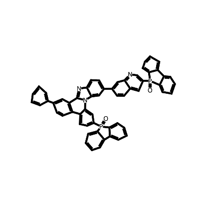 O=P1(c2cnc3cc(-c4ccc5nc6c7cc(-c8ccccc8)ccc7c7ccc(P8(=O)c9ccccc9-c9ccccc98)cc7n6c5c4)ccc3c2)c2ccccc2-c2ccccc21